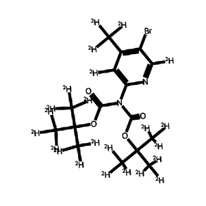 [2H]c1nc(N(C(=O)OC(C([2H])([2H])[2H])(C([2H])([2H])[2H])C([2H])([2H])[2H])C(=O)OC(C([2H])([2H])[2H])(C([2H])([2H])[2H])C([2H])([2H])[2H])c([2H])c(C([2H])([2H])[2H])c1Br